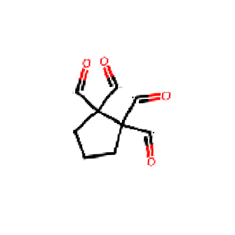 O=[C]C1([C]=O)CCCC1([C]=O)[C]=O